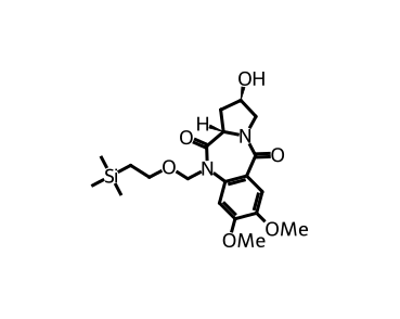 COc1cc2c(cc1OC)N(COCC[Si](C)(C)C)C(=O)[C@@H]1C[C@@H](O)CN1C2=O